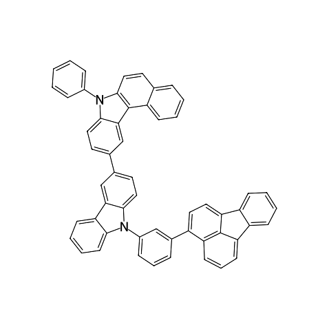 c1ccc(-n2c3ccc(-c4ccc5c(c4)c4ccccc4n5-c4cccc(-c5ccc6c7c(cccc57)-c5ccccc5-6)c4)cc3c3c4ccccc4ccc32)cc1